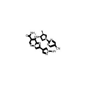 CCCn1cc(-c2cn3ncc(C(N)=O)c(N[C@@H]4CN(c5ncc(C#N)cn5)C[C@@H]4C)c3n2)cn1